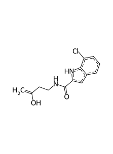 C=C(O)CCNC(=O)c1cc2cccc(Cl)c2[nH]1